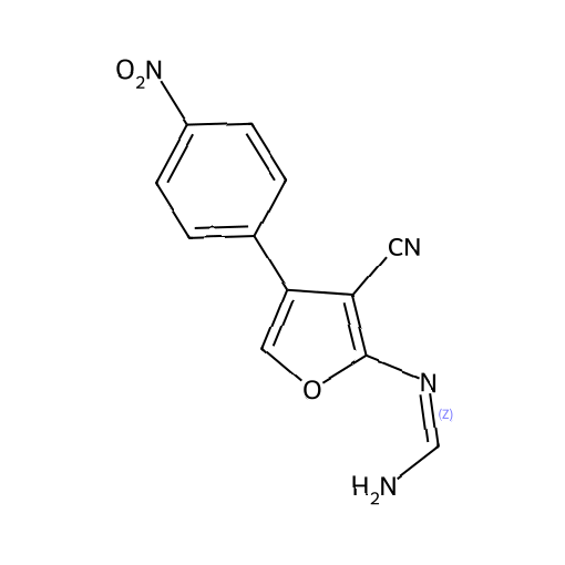 N#Cc1c(-c2ccc([N+](=O)[O-])cc2)coc1/N=C\N